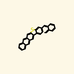 C/C=c1/cccc/c1=C/c1ccc2c(c1)sc1cc3cc4ccccc4cc3cc12